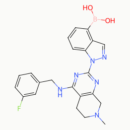 CN1CCc2c(nc(-n3ncc4c(B(O)O)cccc43)nc2NCc2cccc(F)c2)C1